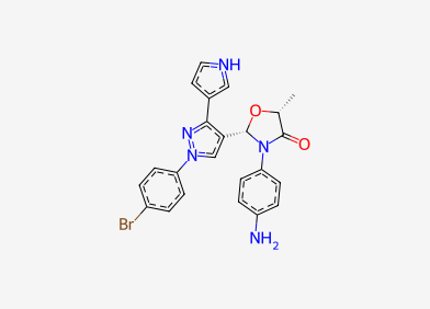 C[C@H]1O[C@@H](c2cn(-c3ccc(Br)cc3)nc2-c2cc[nH]c2)N(c2ccc(N)cc2)C1=O